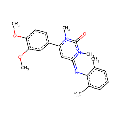 COc1ccc(-c2c/c(=N/c3c(C)cccc3C)n(C)c(=O)n2C)cc1OC